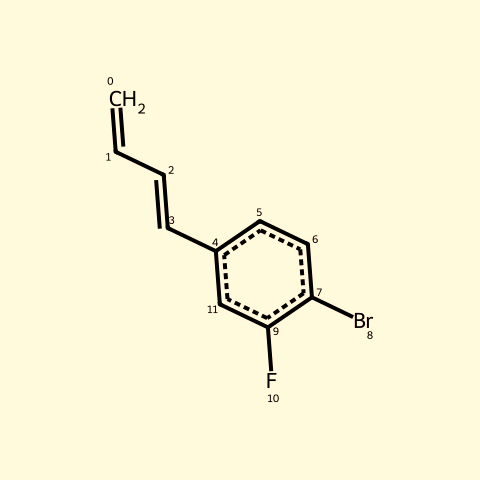 C=C/C=C/c1ccc(Br)c(F)c1